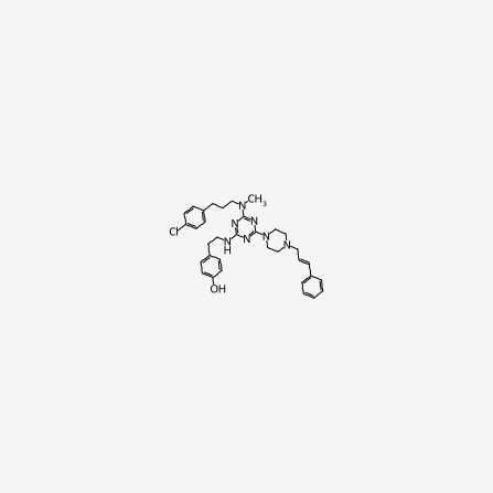 CN(CCCc1ccc(Cl)cc1)c1nc(NCCc2ccc(O)cc2)nc(N2CCN(CC=Cc3ccccc3)CC2)n1